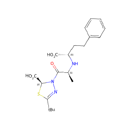 C[C@H](N[C@@H](CCc1ccccc1)C(=O)O)C(=O)N1N=C(C(C)(C)C)S[C@H]1C(=O)O